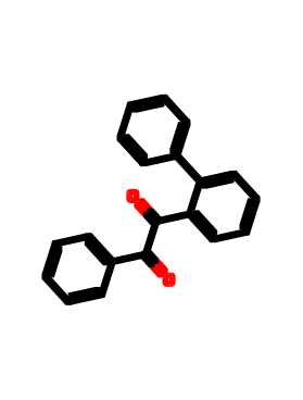 O=C(C(=O)c1ccccc1-c1ccccc1)c1ccccc1